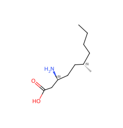 CCCC[C@H](C)CC[C@H](N)CC(=O)O